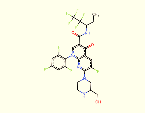 CCC(NC(=O)c1cn(-c2c(F)cc(F)cc2F)c2nc(N3CCNC(CO)C3)c(F)cc2c1=O)C(F)(F)C(F)(F)F